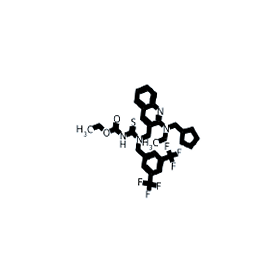 CCOC(=O)NC(=S)N(Cc1cc(C(F)(F)F)cc(C(F)(F)F)c1)Cc1cc2ccccc2nc1N(CC)CC1CCCC1